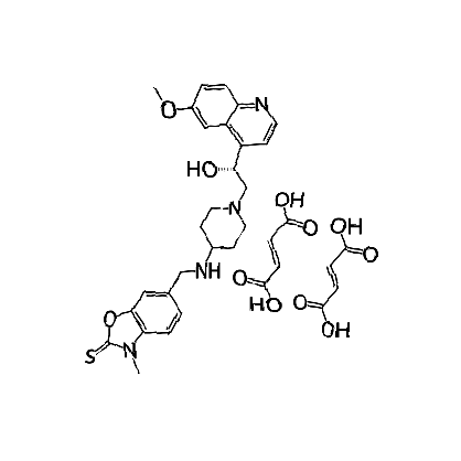 COc1ccc2nccc([C@@H](O)CN3CCC(NCc4ccc5c(c4)oc(=S)n5C)CC3)c2c1.O=C(O)C=CC(=O)O.O=C(O)C=CC(=O)O